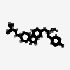 C[C@H](Cc1ccc(F)cc1)Cc1ccc2c(c1)OCC21CCN(CCC(=O)O)CC1